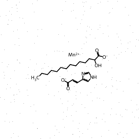 CCCCCCCCCCCCC(O)C(=O)[O-].O=C([O-])C=Cc1c[nH]cn1.[Mn+2]